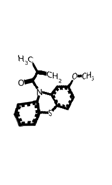 C=C(C)C(=O)N1c2ccccc2Sc2ccc(OC)cc21